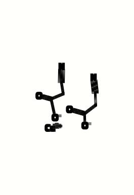 N#CCC(=O)[O-].N#CCC(=O)[O-].[Cd+2]